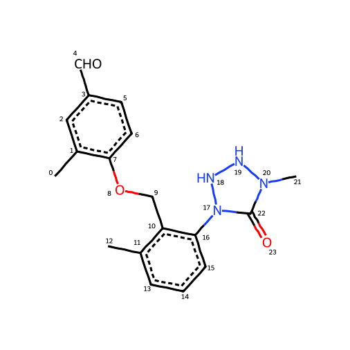 Cc1cc(C=O)ccc1OCc1c(C)cccc1N1NNN(C)C1=O